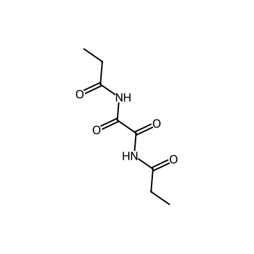 CCC(=O)NC(=O)C(=O)NC(=O)CC